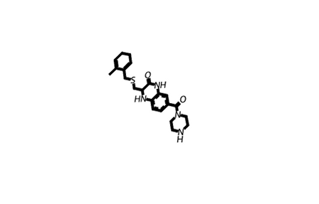 CC1=CCCC=C1CSCC1Nc2ccc(C(=O)N3CCNCC3)cc2NC1=O